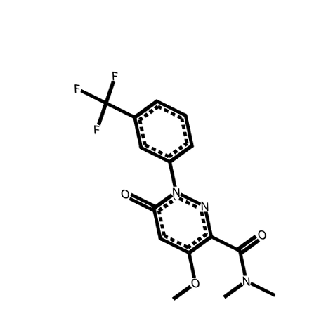 COc1cc(=O)n(-c2cccc(C(F)(F)F)c2)nc1C(=O)N(C)C